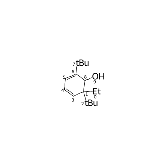 CCC1(C(C)(C)C)C=CC=C(C(C)(C)C)C1O